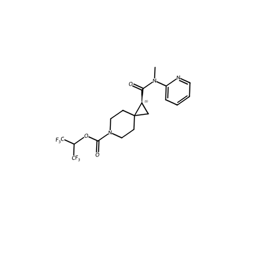 CN(C(=O)[C@H]1CC12CCN(C(=O)OC(C(F)(F)F)C(F)(F)F)CC2)c1ccccn1